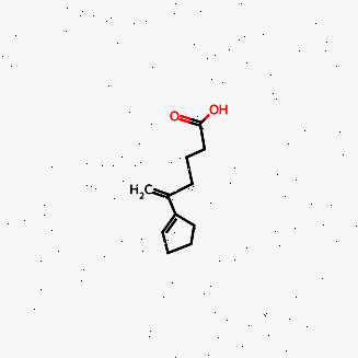 C=C(CCCC(=O)O)C1=CCCC1